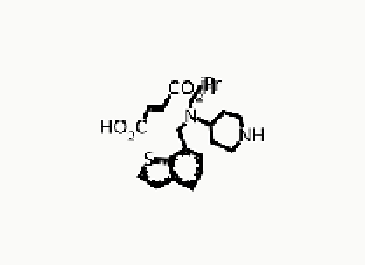 CC(C)CN(Cc1cccc2ccsc12)C1CCNCC1.O=C(O)/C=C/C(=O)O